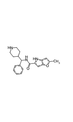 Cc1cc2[nH]c(C(=O)NC(c3ccccc3)C3CCNCC3)cc2o1